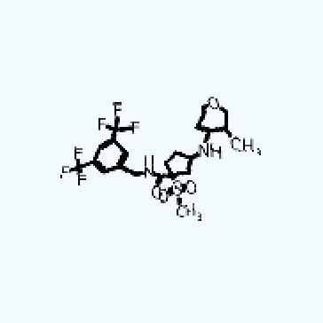 CC1COCCC1NC1CCC(C(=O)NCc2cc(C(F)(F)F)cc(C(F)(F)F)c2)(S(C)(=O)=O)C1